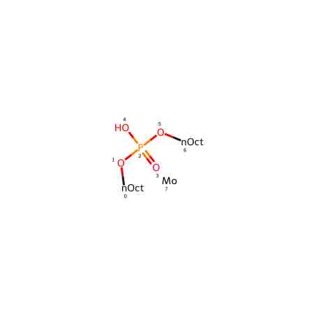 CCCCCCCCOP(=O)(O)OCCCCCCCC.[Mo]